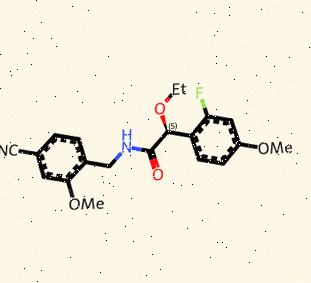 CCO[C@H](C(=O)NCc1ccc(C#N)cc1OC)c1ccc(OC)cc1F